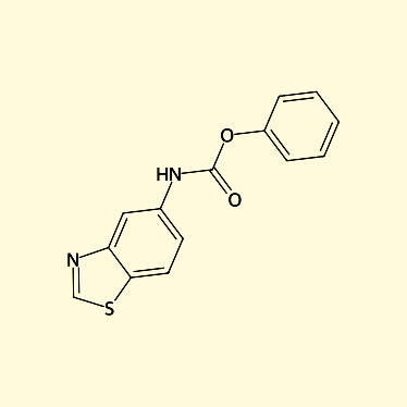 O=C(Nc1ccc2scnc2c1)Oc1ccccc1